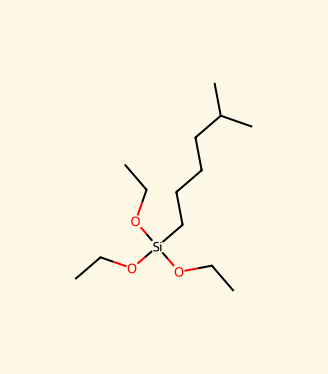 CCO[Si](CCCCC(C)C)(OCC)OCC